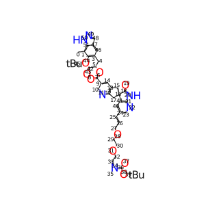 Cc1cc(C[C@@H](OC(=O)c2cnc3c(c2)C[C@@]2(C3)C(=O)Nc3ncc(/C=C/COCCOCCN(C)C(=O)OC(C)(C)C)cc32)C(=O)OC(C)(C)C)cc2cn[nH]c12